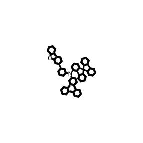 c1cc(-c2ccc3c(c2)oc2ccccc23)cc(N(c2ccc3c4ccccc4c4ccccc4c3c2)c2cccc3c2-c2ccccc2C32c3ccccc3-c3ccccc32)c1